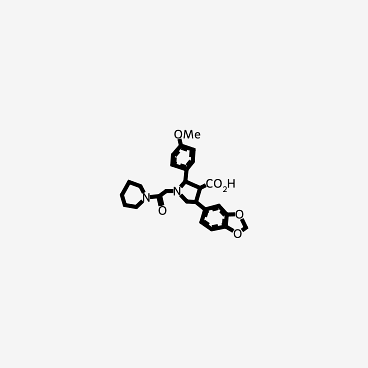 COc1ccc(C2C(C(=O)O)C(c3ccc4c(c3)OCO4)CN2CC(=O)N2CCCCC2)cc1